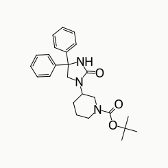 CC(C)(C)OC(=O)N1CCCC(N2CC(c3ccccc3)(c3ccccc3)NC2=O)C1